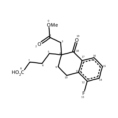 COC(=O)CC1(CCCC(=O)O)CCc2c(F)cccc2C1=O